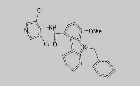 COc1ccc(C(=O)Nc2c(Cl)cncc2Cl)c2c3ccccc3n(Cc3ccccc3)c12